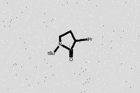 CC(C)C1CCN(C(C)(C)C)C1=O